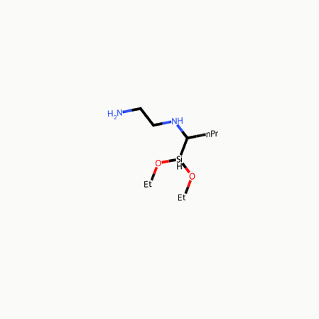 CCCC(NCCN)[SiH](OCC)OCC